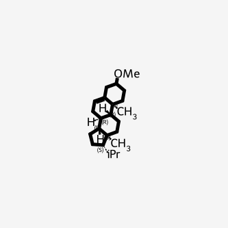 COC1CC[C@]2(C)C(=CC[C@@H]3[C@H]4CC[C@@H](C(C)C)[C@]4(C)CC[C@H]32)C1